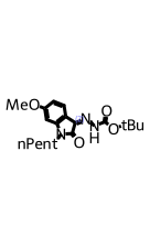 CCCCCN1C(=O)/C(=N\NC(=O)OC(C)(C)C)c2ccc(OC)cc21